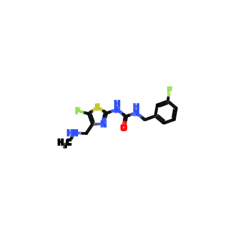 CNCc1nc(NC(=O)NCc2cccc(F)c2)sc1F